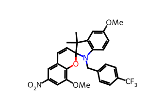 COc1ccc2c(c1)C(C)(C)C1(C=Cc3cc([N+](=O)[O-])cc(OC)c3O1)N2Cc1ccc(C(F)(F)F)cc1